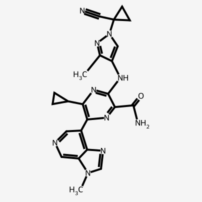 Cc1nn(C2(C#N)CC2)cc1Nc1nc(C2CC2)c(-c2cncc3c2ncn3C)nc1C(N)=O